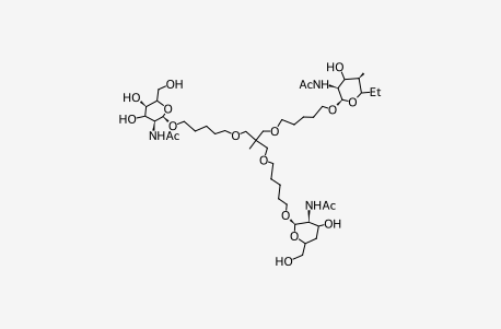 CCC1O[C@@H](OCCCCCOCC(C)(COCCCCCO[C@@H]2OC(CO)CC(O)[C@@H]2NC(C)=O)COCCCCCO[C@@H]2OC(CO)[C@H](O)C(O)[C@@H]2NC(C)=O)[C@@H](NC(C)=O)C(O)[C@H]1C